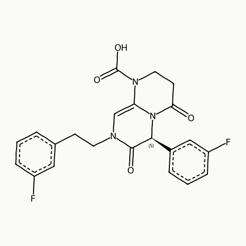 O=C1[C@H](c2cccc(F)c2)N2C(=O)CCN(C(=O)O)C2=CN1CCc1cccc(F)c1